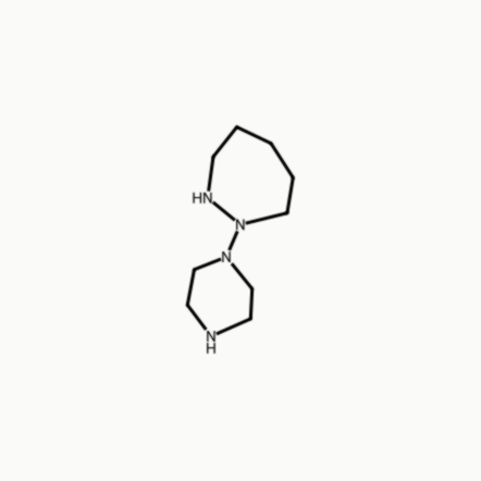 C1CCNN(N2CCNCC2)CC1